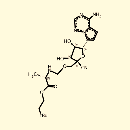 C[C@H](NCOC[C@@]1(C#N)O[C@@H](c2ccc3c(N)ncnn23)[C@H](O)[C@@H]1O)C(=O)OCCC(C)(C)C